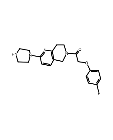 O=C(COc1ccc(F)cc1)N1CCc2nc(N3CCNCC3)ccc2C1